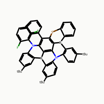 CC(C)(C)c1ccc2c(c1)B1c3ccccc3Sc3c1c1c4c(c3-c3ccccc3)N(c3c(F)cccc3F)c3ccc(C(C)(C)C)cc3B4c3cc(C(C)(C)C)ccc3N21